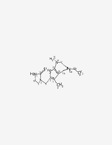 Cc1c(CN2CCNC2=S)sc2c1CN(CC(F)(F)F)CN2C